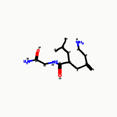 C=C(CCN)CC(CC(C)C)C(=O)NCC(N)=O